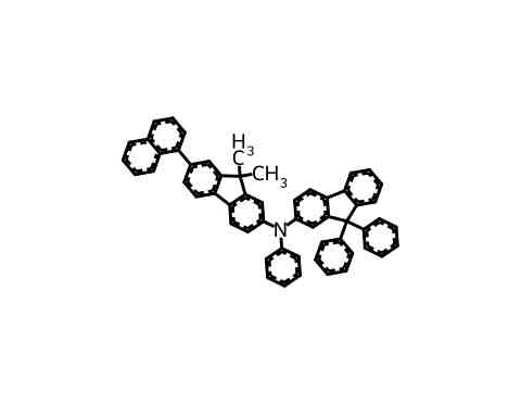 CC1(C)c2cc(-c3cccc4ccccc34)ccc2-c2ccc(N(c3ccccc3)c3ccc4c(c3)C(c3ccccc3)(c3ccccc3)c3ccccc3-4)cc21